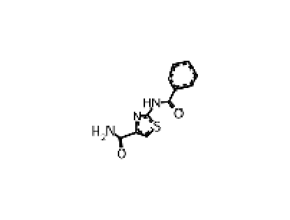 NC(=O)c1csc(NC(=O)c2ccccc2)n1